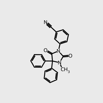 CN1C(=O)N(c2cccc(C#N)c2)C(=O)C1(c1ccccc1)c1ccccc1